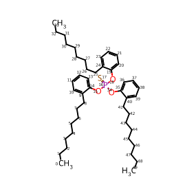 CCCCCCCCCc1ccccc1OP(=S)(Oc1ccccc1CCCCCCCCC)Oc1ccccc1CCCCCCCCC